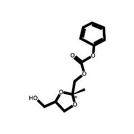 C[C@@]1(COC(=O)Oc2ccccc2)OCC(CO)O1